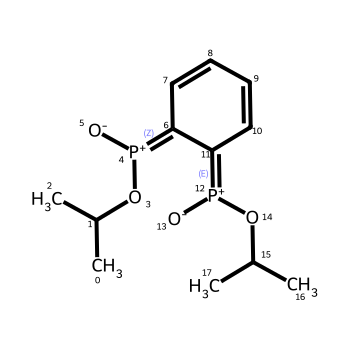 CC(C)O/[P+]([O-])=C1/C=CC=C/C1=[P+](/[O-])OC(C)C